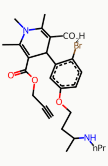 C#CCOC(=O)C1=C(C)N(C)C(C)=C(C(=O)O)C1c1cc(OCCC(C)NCCC)ccc1Br